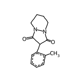 Cc1ccccc1C1C(=O)N2CCCCN2C1=O